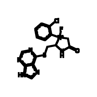 O=C1C[N+](F)(c2ccccc2Cl)C(CSc2ncnc3[nH]cnc23)N1